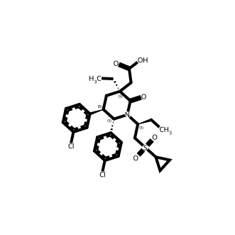 CC[C@@H](CS(=O)(=O)C1CC1)N1C(=O)[C@](CC)(CC(=O)O)C[C@H](c2cccc(Cl)c2)[C@H]1c1ccc(Cl)cc1